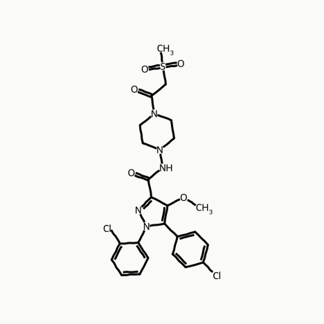 COc1c(C(=O)NN2CCN(C(=O)CS(C)(=O)=O)CC2)nn(-c2ccccc2Cl)c1-c1ccc(Cl)cc1